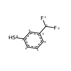 FC(F)c1cccc(S)c1